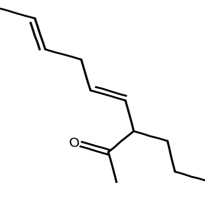 CC=CCC=CC(CCC)C(C)=O